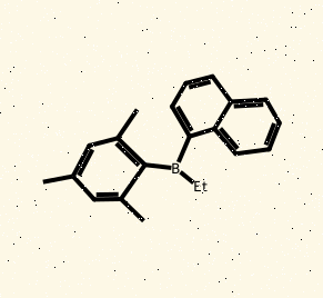 CCB(c1c(C)cc(C)cc1C)c1cccc2ccccc12